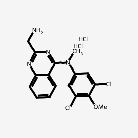 COc1c(Cl)cc(N(C)c2nc(CN)nc3ccccc23)cc1Cl.Cl.Cl